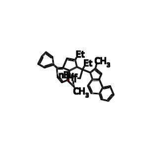 CCC[CH2][Hf]1([CH2]C(CC)(C2C(CC)=Cc3c(-c4ccccc4)cccc32)C2C(C)=Cc3c2ccc2ccccc32)[CH2][CH]1C